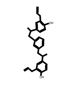 C=CCc1cc(C(C)Cc2cccc(CC(C)c3ccc(O)c(CC=C)c3)c2)ccc1O